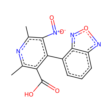 Cc1nc(C)c([N+](=O)[O-])c(-c2cccc3nonc23)c1C(=O)O